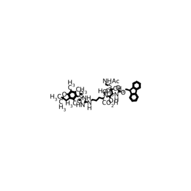 CC(=O)NCSC(C)(C)[C@H](NC(=O)OCC1c2ccccc2-c2ccccc21)C(=O)N(C)[C@@H](CCCNC(=N)NS(=O)(=O)c1c(C)c(C)c2c(c1C)CC(C)(C)O2)C(=O)O